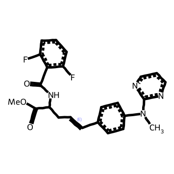 COC(=O)C(C/C=C/c1ccc(N(C)c2ncccn2)cc1)NC(=O)c1c(F)cccc1F